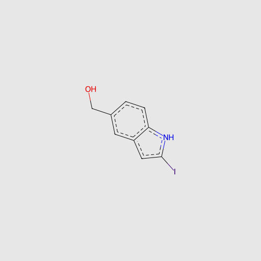 OCc1ccc2[nH]c(I)cc2c1